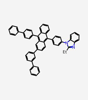 CCc1nc2ccccc2n1-c1ccc(-c2c3ccccc3c(-c3ccc(-c4ccccc4)cc3)c3cc(-c4cccc(-c5ccccc5)c4)ccc23)cc1